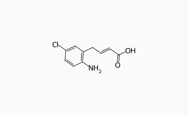 Nc1ccc(Cl)cc1C/C=C/C(=O)O